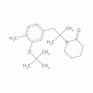 Cc1ccc(CC(C)(C)N2CCCCC2=O)cc1OC(C)(C)C